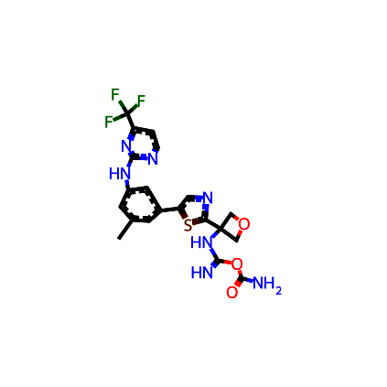 Cc1cc(Nc2nccc(C(F)(F)F)n2)cc(-c2cnc(C3(NC(=N)OC(N)=O)COC3)s2)c1